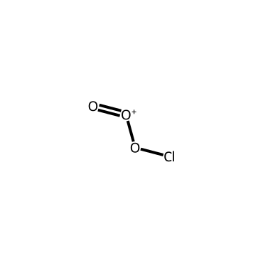 O=[O+]OCl